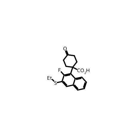 CCSc1cc2ccccc2c(C2(C(=O)O)CCC(=O)CC2)c1F